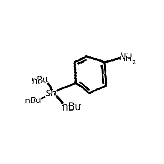 CCC[CH2][Sn]([CH2]CCC)([CH2]CCC)[c]1ccc(N)cc1